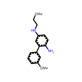 COCCNc1ccc(N)c(-c2cccc(OC)c2)c1